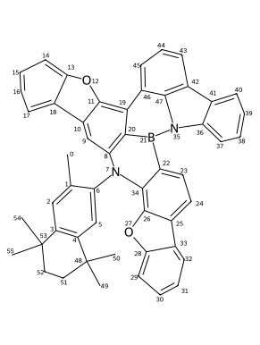 Cc1cc2c(cc1N1c3cc4c(oc5ccccc54)c4c3B(c3ccc5c(oc6ccccc65)c31)n1c3ccccc3c3cccc-4c31)C(C)(C)CCC2(C)C